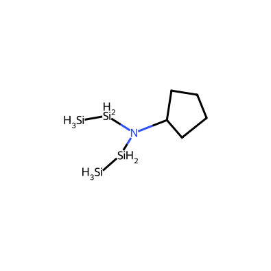 [SiH3][SiH2]N([SiH2][SiH3])C1CCCC1